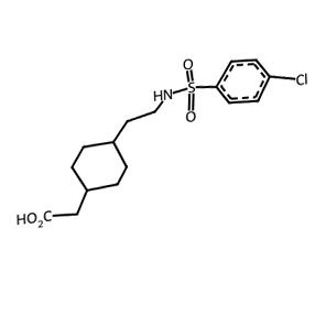 O=C(O)CC1CCC(CCNS(=O)(=O)c2ccc(Cl)cc2)CC1